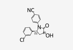 N#Cc1ccc(N2C(=O)[C@H](O)C[C@H]2c2cccc(Cl)c2)cc1